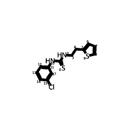 S=C(NCCc1cccs1)Nc1cccc(Cl)c1